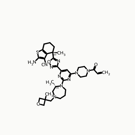 C=CC(=O)N1CCN(c2cc(-c3noc([C@@]4(C)CCCc5sc(N)c(C#N)c54)n3)nc(N3CCCN(CC4(C)COC4)C[C@@H]3C)n2)CC1